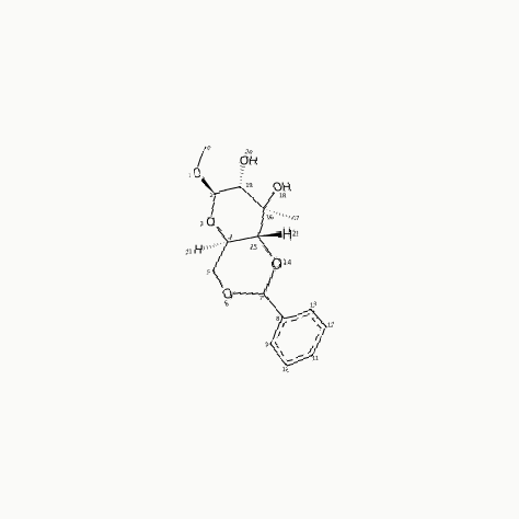 CO[C@@H]1O[C@@H]2COC(c3ccccc3)O[C@H]2[C@](C)(O)[C@H]1O